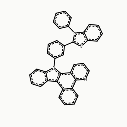 c1ccc(-n2c(-c3cccc(-n4c5ccccc5c5c6ccccc6c6ncccc6c54)c3)nc3ccccc32)cc1